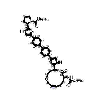 COC(=O)NC1CC/C=C\COCCC(c2nc(-c3ccc(-c4ccc(-c5c[nH]c(C6CCCN6C(=O)OC(C)(C)C)n5)cc4)cc3)c[nH]2)NC1=O